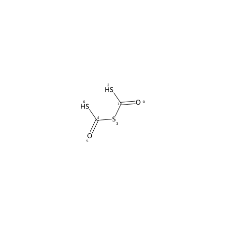 O=C(S)SC(=O)S